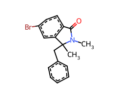 CN1C(=O)c2ccc(Br)cc2C1(C)Cc1ccccc1